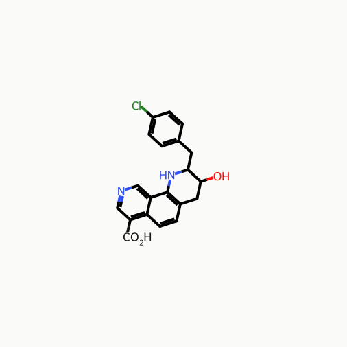 O=C(O)c1cncc2c3c(ccc12)CC(O)C(Cc1ccc(Cl)cc1)N3